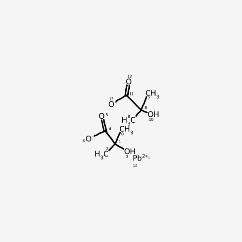 CC(C)(O)C(=O)[O-].CC(C)(O)C(=O)[O-].[Pb+2]